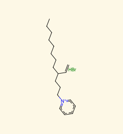 Br.C=CC(CCCCCCCC)CCC[n+]1ccccc1